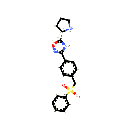 O=S(=O)(Cc1ccc(-c2noc([C@@H]3CCCN3)n2)cc1)c1ccccc1